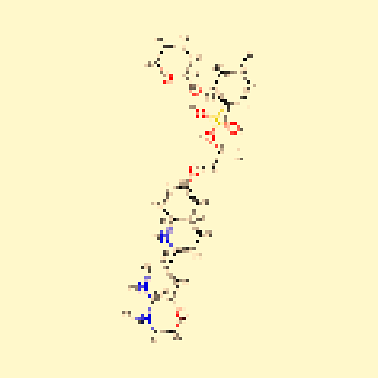 Cc1ccc(S(=O)(=O)OC(C)COc2ccc3nc(-c4cnc5c(c4)OCCN5C)ccc3c2)c(OC2CCCCO2)c1